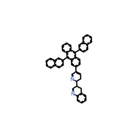 C1=Nc2ccccc2CC1C1CC=C(c2ccc3c(-c4ccc5ccccc5c4)c4ccccc4c(-c4ccc5ccccc5c4)c3c2)C=N1